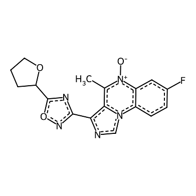 Cc1c2c(-c3noc(C4CCCO4)n3)ncn2c2ccc(F)cc2[n+]1[O-]